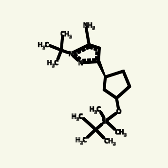 CC(C)(C)n1nc([C@H]2CCC(O[Si](C)(C)C(C)(C)C)C2)cc1N